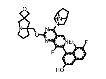 CCc1c(F)ccc2cc(O)cc(-c3ncc4c(N5CC6CCC(C5)N6)nc(OCC56CCCN5CC5(COC5)C6)nc4c3F)c12